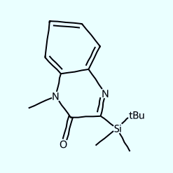 Cn1c(=O)c([Si](C)(C)C(C)(C)C)nc2ccccc21